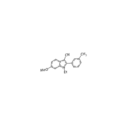 CCn1c(-c2cccc(C)c2)c(C#N)c2ccc(OC)cc21